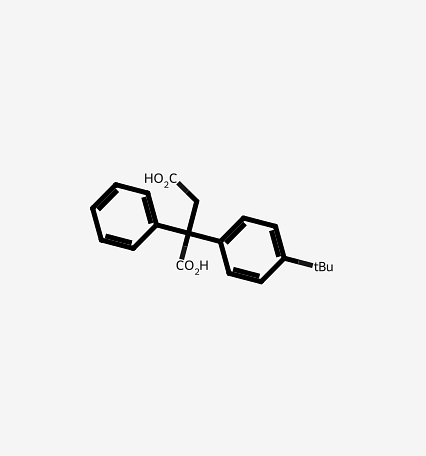 CC(C)(C)c1ccc(C(CC(=O)O)(C(=O)O)c2ccccc2)cc1